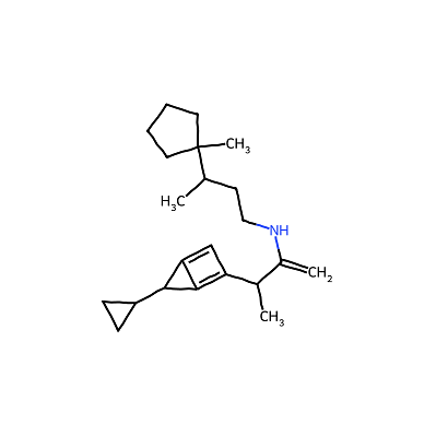 C=C(NCCC(C)C1(C)CCCC1)C(C)C1=C2C(=C1)C2C1CC1